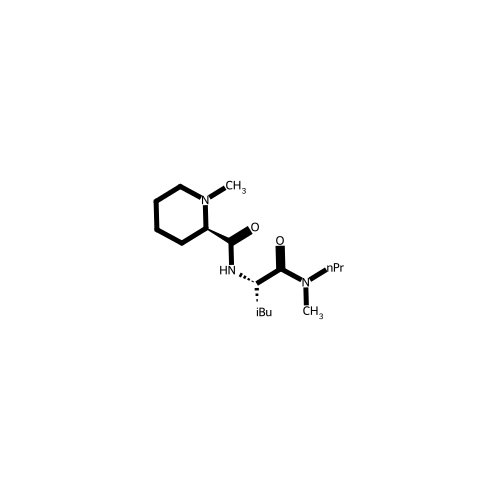 CCCN(C)C(=O)[C@@H](NC(=O)[C@H]1CCCCN1C)[C@@H](C)CC